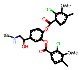 COc1c(C)ccc(C(=O)Oc2ccc(C(O)CNC(C)(C)C)cc2OC(=O)c2ccc(C)c(OC)c2Cl)c1Cl